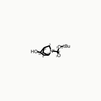 CC(C)(C)OC(=O)N1CC2CC1CC2O